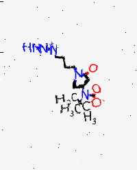 CC(C)(C)N(C(=O)[O-])c1ccn(CCCCN=[N+]=N)c(=O)c1